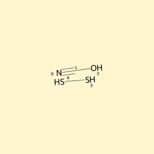 N#CO.SS